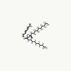 C=C(CCCCCCCCCC)OC(=C)CCCCCCCCCC.CCCCCCCC